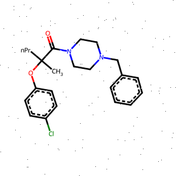 CCCC(C)(Oc1ccc(Cl)cc1)C(=O)N1CCN(Cc2ccccc2)CC1